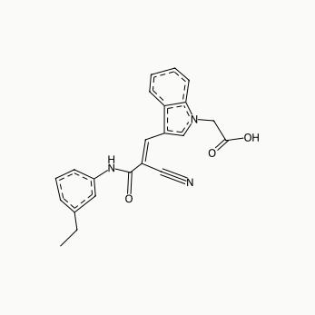 CCc1cccc(NC(=O)/C(C#N)=C/c2cn(CC(=O)O)c3ccccc23)c1